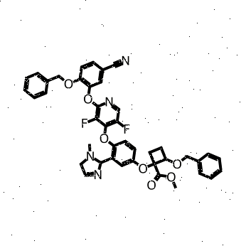 COC(=O)C1(Oc2ccc(Oc3c(F)cnc(Oc4cc(C#N)ccc4OCc4ccccc4)c3F)c(C3N=CCN3C)c2)CCC1OCc1ccccc1